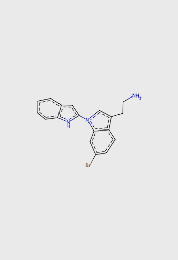 NCCc1cn(-c2cc3ccccc3[nH]2)c2cc(Br)ccc12